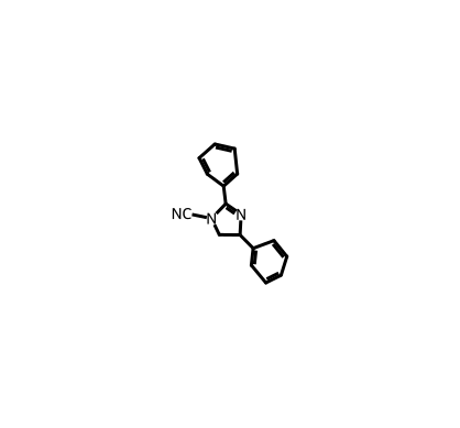 N#CN1CC(c2ccccc2)N=C1c1ccccc1